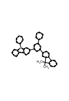 CC1(C)c2ccccc2-c2ccc(-c3cc(-c4ccccc4)cc(-c4ccc5c6ccccc6n(-c6ccccc6)c5c4)c3)cc21